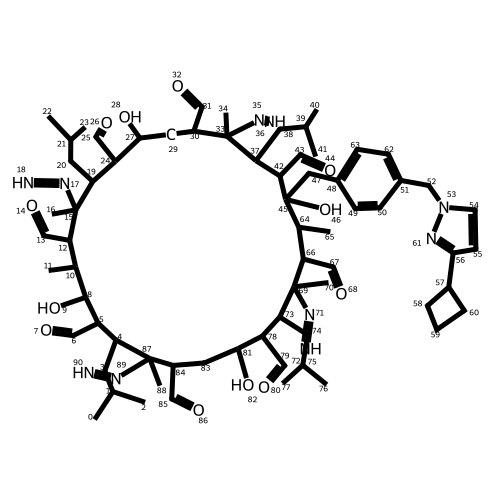 CC(C)CC1C(C=O)C(O)C(C)C(C=O)C(C)(N=N)C(CC(C)C)C(C=O)C(O)CC(C=O)C(C)(N=N)C(CC(C)C)C(C=O)C(O)(Cc2ccc(Cn3ccc(C4CCC4)n3)cc2)C(C)C(C=O)C(C)(N=N)C(CC(C)C)C(C=O)C(O)CC(C=O)C1(C)N=N